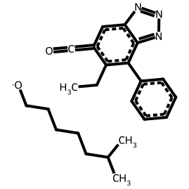 CC(C)CCCCC[O].CCc1c(-c2ccccc2)c2c(cc1=C=O)N=NN=2